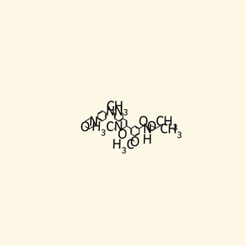 CCn1c(=O)c(-c2cc(OC)cc(C(=O)NOCC(C)C)c2)cc2cnc(N(C)c3ccc(N4CCOCC4)cc3)cc21